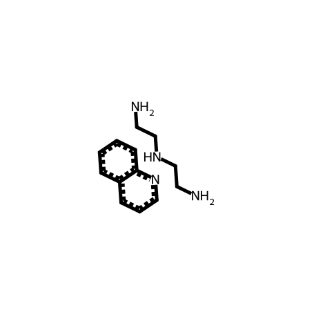 NCCNCCN.c1ccc2ncccc2c1